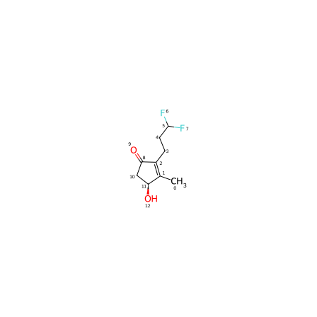 CC1=C(CCC(F)F)C(=O)C[C@@H]1O